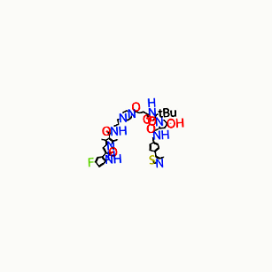 Cc1ncsc1-c1ccc(CNC(=O)[C@@H]2C[C@@H](O)CN2C(=O)[C@@H](NC(=O)CCC(=O)N2CCN(CCCNC(=O)c3c(C)[nH]c(/C=C4\C(=O)Nc5ccc(F)cc54)c3C)CC2)C(C)(C)C)cc1